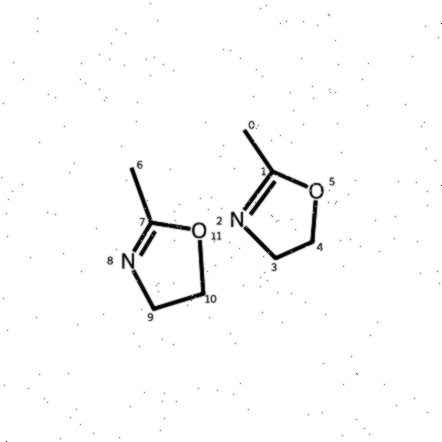 CC1=NCCO1.CC1=NCCO1